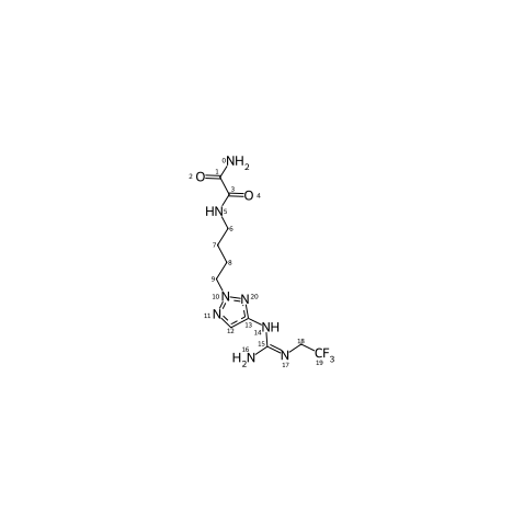 NC(=O)C(=O)NCCCCn1ncc(N/C(N)=N\CC(F)(F)F)n1